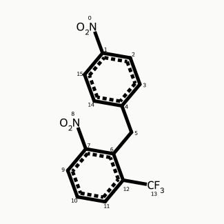 O=[N+]([O-])c1ccc(Cc2c([N+](=O)[O-])cccc2C(F)(F)F)cc1